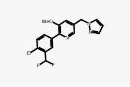 COc1cc(Cn2cccn2)cnc1-c1ccc(Cl)c(C(F)F)c1